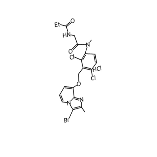 CCC(=O)NCC(=O)N(C)c1ccc(Cl)c(COc2cccn3c(Br)c(C)nc23)c1Cl.Cl